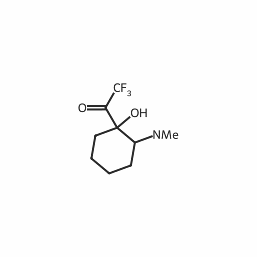 CNC1CCCCC1(O)C(=O)C(F)(F)F